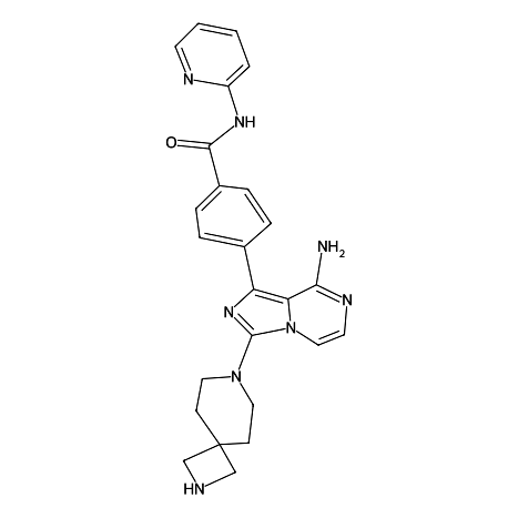 Nc1nccn2c(N3CCC4(CC3)CNC4)nc(-c3ccc(C(=O)Nc4ccccn4)cc3)c12